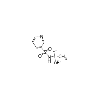 CCCC(C)(CC)NS(=O)(=O)c1cccnc1